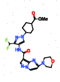 COC(=O)C1CCC(n2cc(NC(=O)c3cnn4ccc(N5CCOCC5)nc34)c(C(F)F)n2)CC1